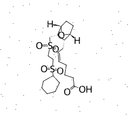 O=C(O)CCC/C=C\C[C@@H]1[C@H](CS(=O)(=O)CCS(=O)(=O)C2CCCCC2)[C@@H]2CC[C@H]1O2